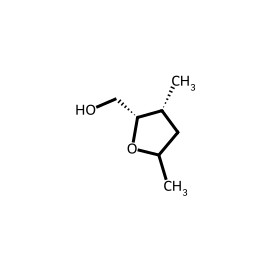 CC1C[C@@H](C)[C@@H](CO)O1